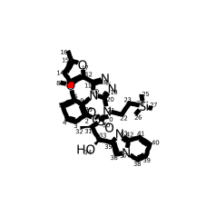 COc1cccc(OC)c1-n1c(-c2ccc(C)o2)nnc1N(CC[Si](C)(C)C)S(=O)(=O)[C@H](C)[C@H](O)c1cn2ccccc2n1